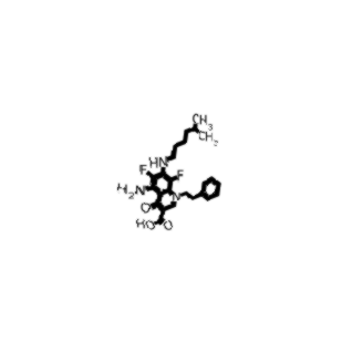 CC(C)CCCCNc1c(F)c(N)c2c(=O)c(C(=O)O)cn(CCc3ccccc3)c2c1F